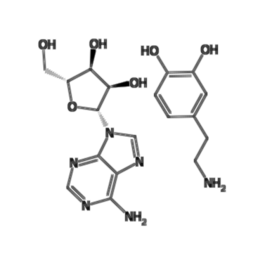 NCCc1ccc(O)c(O)c1.Nc1ncnc2c1ncn2[C@@H]1O[C@H](CO)[C@@H](O)[C@H]1O